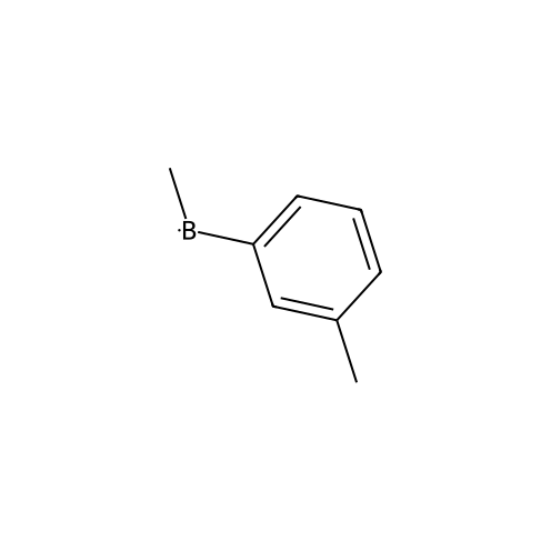 C[B]c1cccc(C)c1